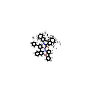 Cc1cc2c(cc1N1c3cc(-c4ccccc4)cc(-c4c(Nc5cccc6c5oc5ccccc56)ccc5ccccc45)c3Sc3sc4cc5c(cc4c31)C(C)(C)CCC5(C)C)C(C)(C)CCC2(C)C